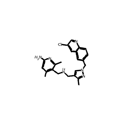 Cc1cc(N)nc(C)c1CNCc1cn(Cc2ccc3ncc(Cl)cc3c2)nc1C